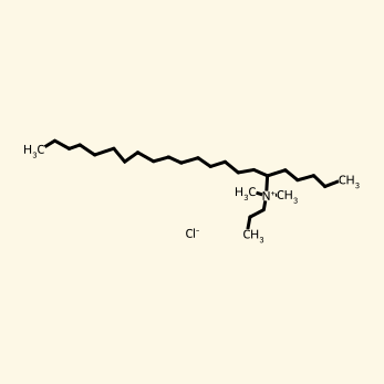 CCCCCCCCCCCCCCCCC(CCCCC)[N+](C)(C)CCC.[Cl-]